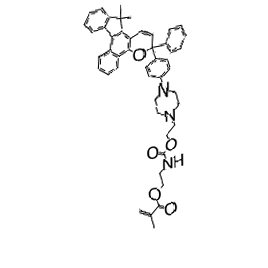 C=C(C)C(=O)OCCNC(=O)OCCN1CCN(c2ccc(C3(c4ccccc4)C=Cc4c5c(c6ccccc6c4O3)-c3ccccc3C5(C)C)cc2)CC1